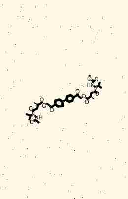 COC(=O)NN(C(=O)C[C@@H](C)C(=O)OCC(=O)c1ccc(-c2ccc(C(=O)COC(=O)[C@H](C)CC(=O)N(NC(C)=O)C(C)C)cc2)cc1)C(C)C